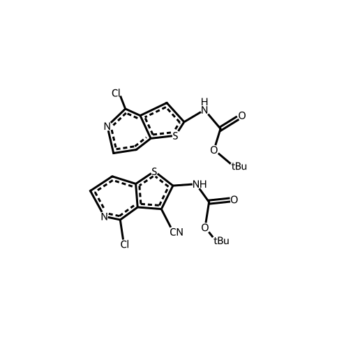 CC(C)(C)OC(=O)Nc1cc2c(Cl)nccc2s1.CC(C)(C)OC(=O)Nc1sc2ccnc(Cl)c2c1C#N